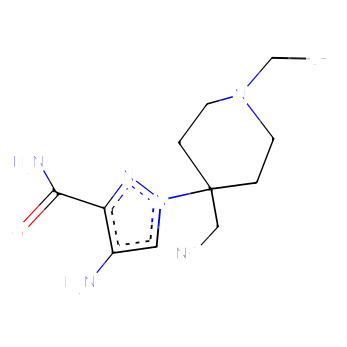 N#CCC1(n2cc(N)c(C(N)=O)n2)CCN(CC(F)(F)F)CC1